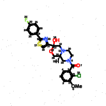 COc1cccc(C(=O)N2CCN3C[C@@](O)(c4csc(-c5ccc(F)cc5)n4)OC[C@@H]3C2)c1Cl